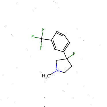 CN1CCC(F)(c2cccc(C(F)(F)F)c2)C1